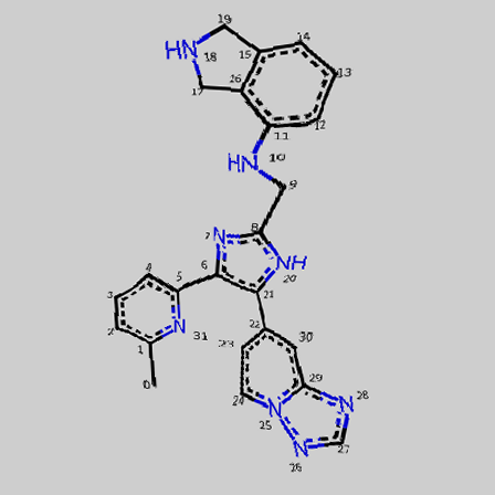 Cc1cccc(-c2nc(CNc3cccc4c3CNC4)[nH]c2-c2ccn3ncnc3c2)n1